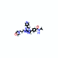 O=C(NC1CC1)c1ccc(-c2cnc3c(NCCCN4CCOCC4)nc(-c4ccncc4)cn23)cc1